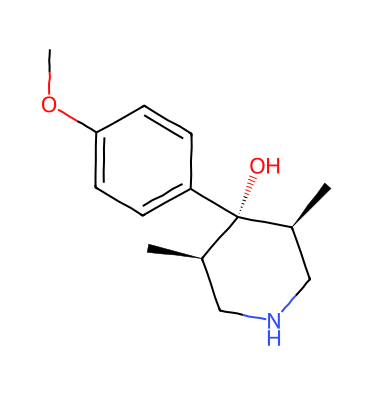 COc1ccc([C@]2(O)[C@H](C)CNC[C@@H]2C)cc1